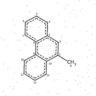 Cc1cc2[c]cccc2c2ccccc12